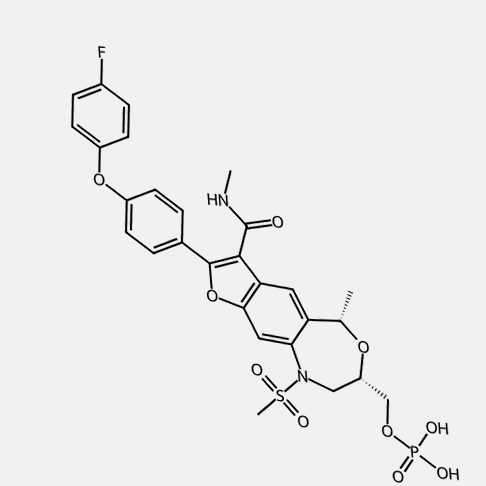 CNC(=O)c1c(-c2ccc(Oc3ccc(F)cc3)cc2)oc2cc3c(cc12)[C@H](C)O[C@H](COP(=O)(O)O)CN3S(C)(=O)=O